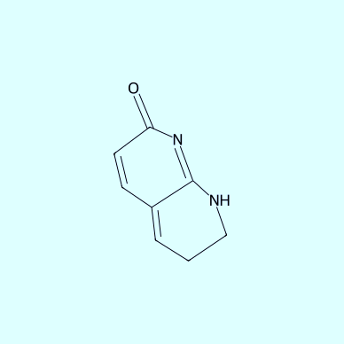 O=C1C=CC2=CCCNC2=N1